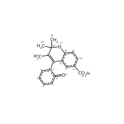 CC1=C(n2ccccc2=O)c2cc(C(=O)O)ccc2OC1(C)C